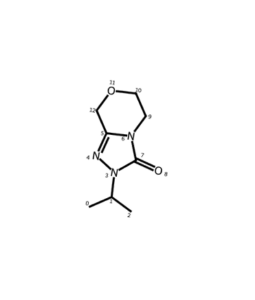 CC(C)n1nc2n(c1=O)CCOC2